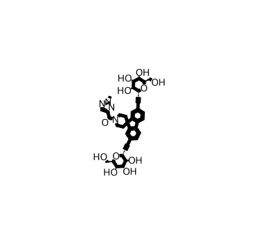 Cn1ncc(C(=O)N2CCC3(CC2)c2cc(C#C[C@H]4O[C@H](CO)[C@@H](O)[C@H](O)[C@@H]4O)ccc2-c2ccc(C#C[C@H]4O[C@H](CO)[C@@H](O)[C@H](O)[C@@H]4O)cc23)n1